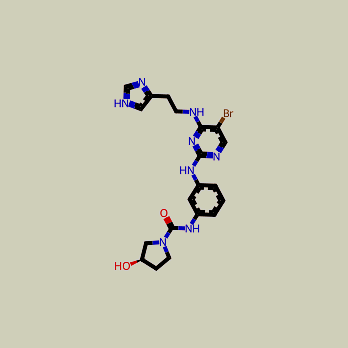 O=C(Nc1cccc(Nc2ncc(Br)c(NCCc3c[nH]cn3)n2)c1)N1CC[C@@H](O)C1